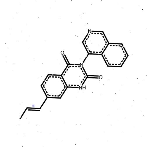 C/C=C/c1ccc2c(=O)n(-c3cncc4ccccc34)c(=O)[nH]c2c1